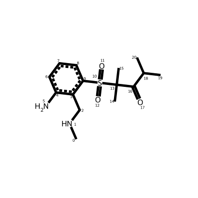 CNCc1c(N)[c]ccc1S(=O)(=O)C(C)(C)C(=O)C(C)C